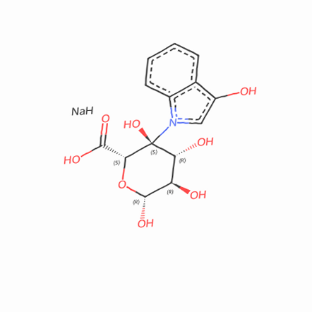 O=C(O)[C@H]1O[C@@H](O)[C@H](O)[C@@H](O)[C@@]1(O)n1cc(O)c2ccccc21.[NaH]